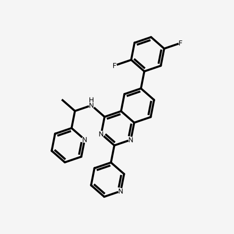 CC(Nc1nc(-c2cccnc2)nc2ccc(-c3cc(F)ccc3F)cc12)c1ccccn1